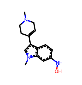 CN1CC=C(c2cn(C)c3cc(NO)ccc23)CC1